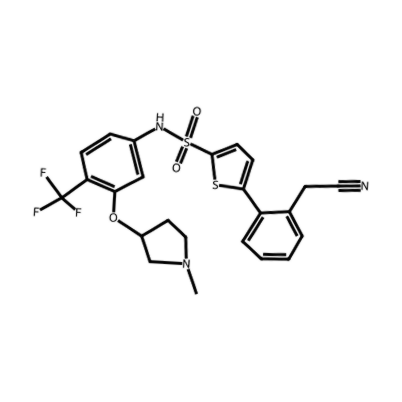 CN1CCC(Oc2cc(NS(=O)(=O)c3ccc(-c4ccccc4CC#N)s3)ccc2C(F)(F)F)C1